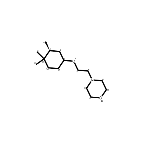 C[C@H]1CC(OCCN2CCOCC2)CCC1(C)C